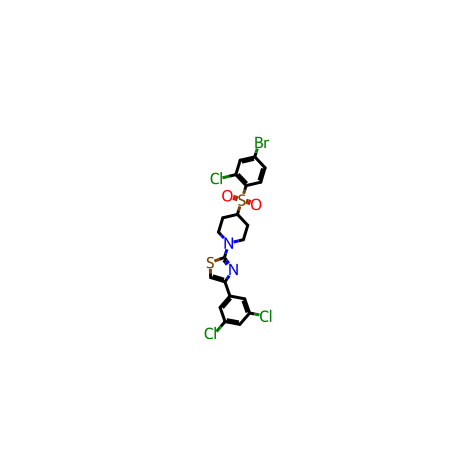 O=S(=O)(c1ccc(Br)cc1Cl)C1CCN(c2nc(-c3cc(Cl)cc(Cl)c3)cs2)CC1